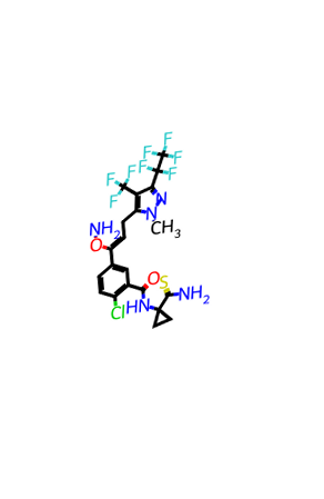 Cn1nc(C(F)(F)C(F)(F)F)c(C(F)(F)F)c1C/C=C(\ON)c1ccc(Cl)c(C(=O)NC2(C(N)=S)CC2)c1